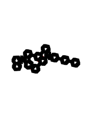 c1ccc(-c2ccc(-c3ccc(N(c4ccc(-c5ccccc5)cc4)c4ccccc4-c4cccc(-c5cccc6c5c5ccccc5n6-c5cccc6ccccc56)c4)cc3)cc2)cc1